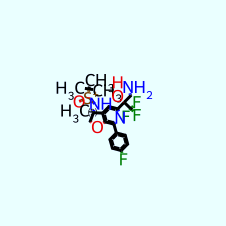 CC(C)(C)[S+]([O-])N[C@]1(C)COc2c1cc(C(O)(CN)C(F)(F)F)nc2-c1ccc(F)cc1